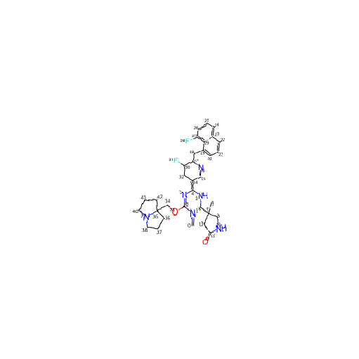 C=N/C(=N\C(NCC1(C)CNC(=O)C1)=C1\C=NC(Cc2cccc3cccc(F)c23)C(F)C1)OCC12CCCN1CCC2